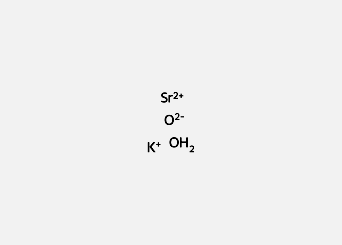 O.[K+].[O-2].[Sr+2]